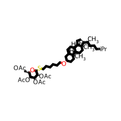 CC(=O)OC[C@H]1O[C@@H](SCCCCCCOC2CC[C@@]3(C)C(=CC[C@H]4[C@@H]5CC[C@H]([C@H](C)CCCC(C)C)[C@@]5(C)CC[C@@H]43)C2)[C@H](OC(C)=O)[C@@H](OC(C)=O)[C@@H]1OC(C)=O